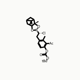 CC(=O)c1c(OC(=O)OC(C)(C)C)ccc(C[C@@H](Cl)B2OC3CC4CC(C4(C)C)[C@]3(C)O2)c1C